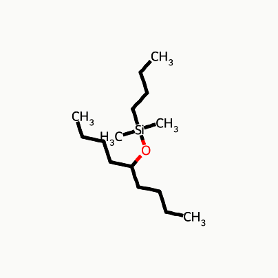 CCCCC(CCCC)O[Si](C)(C)CCCC